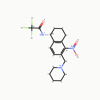 O=C(N[C@@H]1CCCc2c1ccc(CN1CCCCC1)c2[N+](=O)[O-])C(F)(F)F